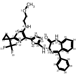 COCCNc1sc(C2(C(F)(F)F)CC2)nc1-c1nnc(N[C@H]2N=C(c3ccccc3)c3ccccc3NC2=O)o1